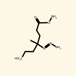 NN=NC(I)(CCC(=O)O)CCC(=O)ON